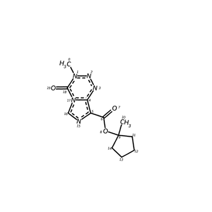 Cn1nnc2c(C(=O)OC3(C)CCCC3)ncn2c1=O